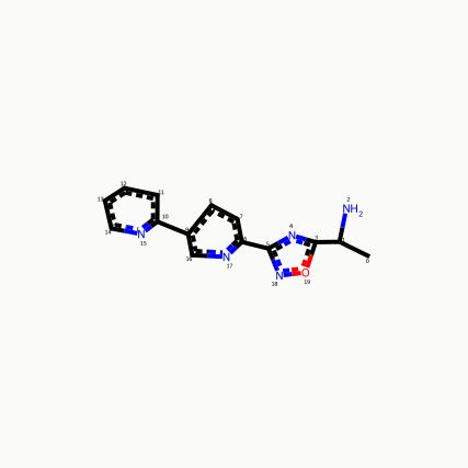 CC(N)c1nc(-c2ccc(-c3ccccn3)cn2)no1